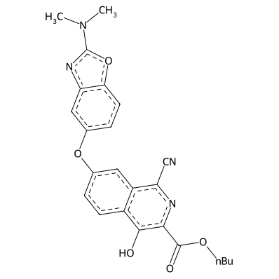 CCCCOC(=O)c1nc(C#N)c2cc(Oc3ccc4oc(N(C)C)nc4c3)ccc2c1O